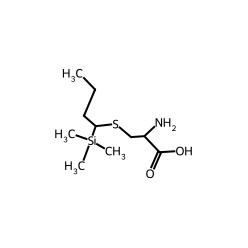 CCCC(SCC(N)C(=O)O)[Si](C)(C)C